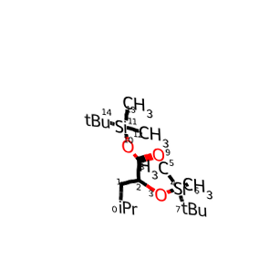 CC(C)CC(O[Si](C)(C)C(C)(C)C)C(=O)O[Si](C)(C)C(C)(C)C